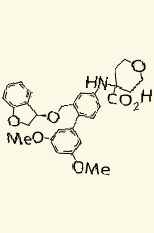 COc1cc(OC)cc(-c2ccc(NC3(C(=O)O)CCOCC3)cc2CO[C@H]2COc3ccccc32)c1